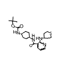 CC(C)(C)OC(=O)N[C@H]1CC[C@@H](NC(=O)c2cccnc2NC2CCSCC2)CC1